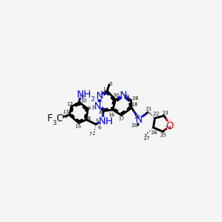 Cc1nnc(N[C@H](C)c2cc(N)cc(C(F)(F)F)c2)c2cc(N(C)C[C@@H]3COC[C@@H]3C)cnc12